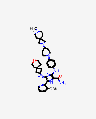 COc1cccnc1-c1nc(C(N)=O)c(Nc2ccc(N3CCC(N4CC5(CCN(C)CC5)C4)CC3)cc2)nc1NC1CC2(CCOCC2)C1